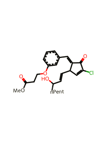 CCCCCC(O)C=CC1C=C(Cl)C(=O)C1=Cc1cccc(OCCC(=O)OC)c1